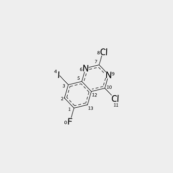 Fc1cc(I)c2nc(Cl)nc(Cl)c2c1